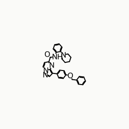 O=C(Nc1ccccc1N1CCCCC1)c1ccn2ncc(-c3ccc(OCc4ccccc4)cc3)c2n1